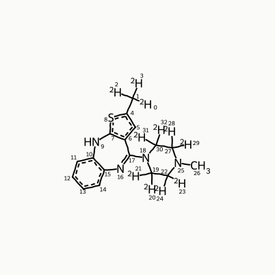 [2H]C([2H])([2H])c1cc2c(s1)Nc1ccccc1N=C2N1C([2H])([2H])C([2H])([2H])N(C)C([2H])([2H])C1([2H])[2H]